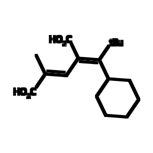 CC(=CC(C(=O)O)=C(C1CCCCC1)C(C)(C)C)C(=O)O